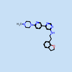 CN1CCN(c2ccc(-c3cc(NCCc4cccc5c4OCC5)ncn3)cn2)CC1